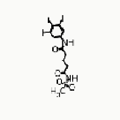 CS(=O)(=O)NC(=O)CCCC(=O)Nc1cc(I)c(I)c(I)c1